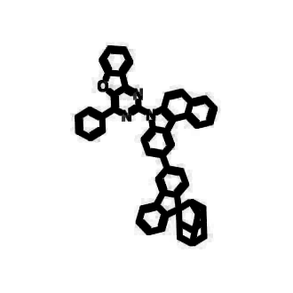 c1ccc(-c2nc(-n3c4ccc(-c5ccc6c(c5)-c5ccccc5C65C6CC7CC(C6)CC5C7)cc4c4c5ccccc5ccc43)nc3c2oc2ccccc23)cc1